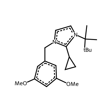 COc1cc(C[n+]2ccn(C(C)(C)C(C)(C)C)c2C2CC2)cc(OC)c1